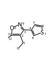 [CH2]Cc1c(-c2ccsc2)noc1C